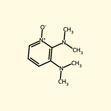 CN(C)c1ccc[n+]([O-])c1N(C)C